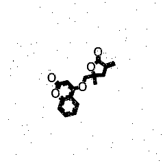 C=C1CC(C)(COc2cc(=O)oc3ccccc23)OC1=O